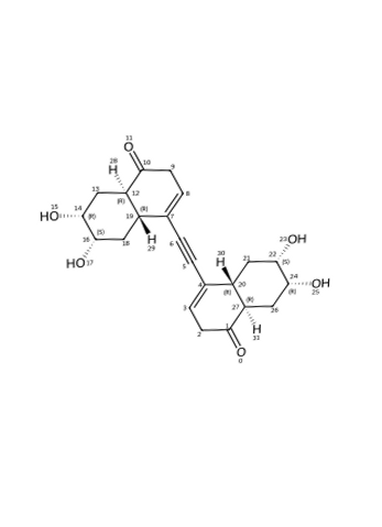 O=C1CC=C(C#CC2=CCC(=O)[C@@H]3C[C@@H](O)[C@@H](O)C[C@@H]23)[C@@H]2C[C@H](O)[C@H](O)C[C@@H]12